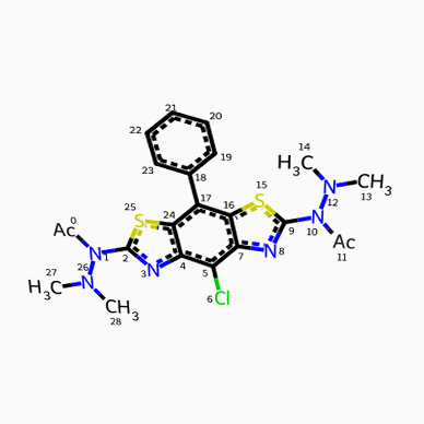 CC(=O)N(c1nc2c(Cl)c3nc(N(C(C)=O)N(C)C)sc3c(-c3ccccc3)c2s1)N(C)C